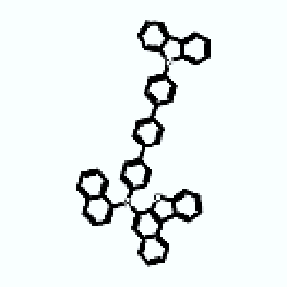 c1ccc2c(N(c3ccc(-c4ccc(-c5ccc(-n6c7ccccc7c7ccccc76)cc5)cc4)cc3)c3cc4ccccc4c4c3oc3ccccc34)cccc2c1